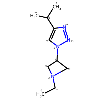 CCN1CC(n2cc(C(C)C)nn2)C1